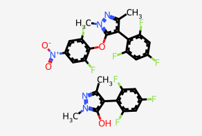 Cc1nn(C)c(O)c1-c1c(F)cc(F)cc1F.Cc1nn(C)c(Oc2c(F)cc([N+](=O)[O-])cc2F)c1-c1c(F)cc(F)cc1F